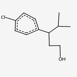 CC(C)C(CCO)c1ccc(Cl)cc1